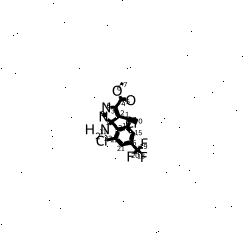 C#CC1=C(C(=O)OC)N=NC1(N)c1c(Cl)cc(C(F)(F)F)cc1Cl